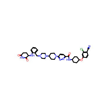 N#Cc1ccc(OC2CCC(NC(=O)c3ccc(N4CCC(N5CCN(Cc6ccccc6NC6CCC(=O)NC6=O)CC5)CC4)nn3)CC2)cc1Cl